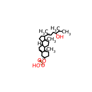 CC(C)C(O)CC[C@@H](C)C1CCC2[C@@H]3CC=C4C[C@@H](OS(=O)(=O)O)CC[C@]4(C)C3CC[C@@]21C